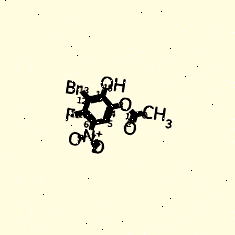 CC(=O)Oc1cc([N+](=O)[O-])c(F)c(Br)c1O